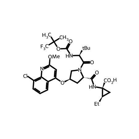 CC[C@@H]1C[C@]1(NC(=O)[C@@H]1C[C@@H](Oc2cc(OC)nc3c(Cl)cccc23)CN1C(=O)[C@@H](NC(=O)OC(C)(C)C(F)(F)F)C(C)(C)C)C(=O)O